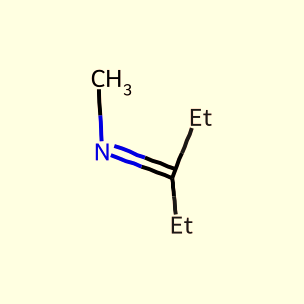 [CH2]CC(CC)=NC